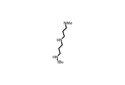 CNCCCNCCCNC(C)(C)C